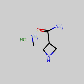 CN.Cl.NC(=O)C1CNC1